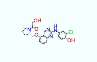 O=C(CO)N1CCC[C@H]1COc1cccc2nc(Nc3ccc(O)c(Cl)c3)ncc12